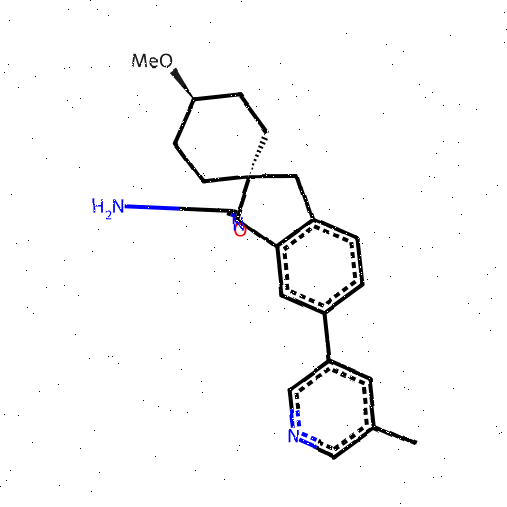 CO[C@H]1CC[C@]2(CC1)Cc1ccc(-c3cncc(C)c3)cc1C21COC(N)=N1